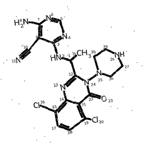 CC(Nc1ncnc(N)c1C#N)c1nc2c(Cl)ccc(Cl)c2c(=O)n1N1CCNCC1